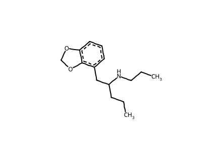 CCCNC(CCC)Cc1cccc2c1OCO2